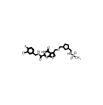 CS(=O)(=O)NCC1CCC(COCc2csc3nc(C(=O)NCc4ccc(F)c(Cl)c4)[nH]c(=O)c23)C1